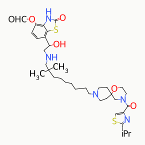 CC(C)c1nc(C(=O)N2CCOC3(CCN(CCCCCCCC(C)(C)CNCC(O)c4ccc(OC=O)c5[nH]c(=O)sc45)CC3)C2)cs1